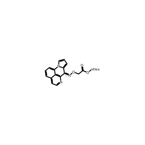 CCCCCCOC(=O)CO/N=c1/c2nccc3cccc(c32)n2cccc12